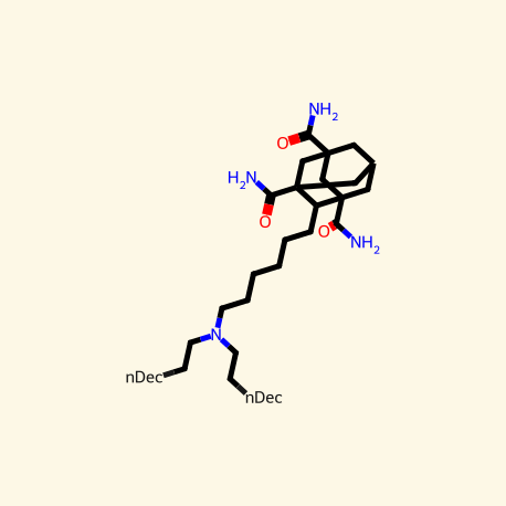 CCCCCCCCCCCCN(CCCCCCCCCCCC)CCCCCCC1C2(C(N)=O)CC3CC(C(N)=O)(C2)CC1(C(N)=O)C3